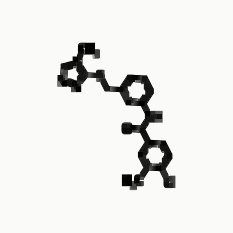 Cc1cc(C(=O)Nc2cccc(CSc3nncn3C)c2)ccc1Cl